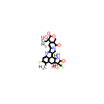 CC[C@@]1(O)C(=O)OCc2c1cc1n(c2=O)Cc2c-1nc1cc(F)c(C)c3c1c2[C@H]1NC(=O)C(O)(C(F)(F)F)[C@H]1C3